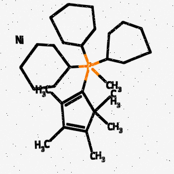 CC1=C(C)C(C)(C)C(P(C)(C2CCCCC2)(C2CCCCC2)C2CCCCC2)=C1C.[Ni]